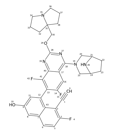 C#Cc1c(F)ccc2cc(O)cc(-c3c(F)cc4c(N5CC6CCC(C5)N6)nc(OCC56CCCN5CCC6)nc4c3F)c12